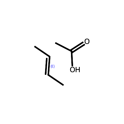 C/C=C/C.CC(=O)O